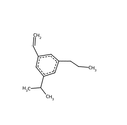 C=[C]c1cc(CCC)cc(C(C)C)c1